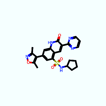 Cc1noc(C)c1-c1cc(S(=O)(=O)NC2CCCC2)c2cc(-c3ncccn3)c(=O)[nH]c2c1